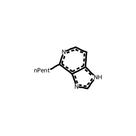 CCCCCc1nccc2[nH]cnc12